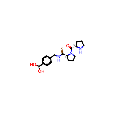 O=C([C@@H]1CCCN1)N1CCC[C@H]1C(=S)NCc1ccc(B(O)O)cc1